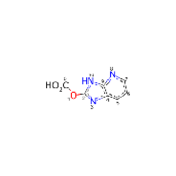 O=C(O)Oc1nc2cccnc2[nH]1